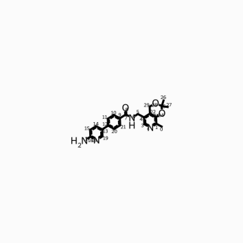 Cc1ncc(CNC(=O)c2ccc(-c3ccc(N)nc3)cc2)c2c1OC(C)(C)OC2